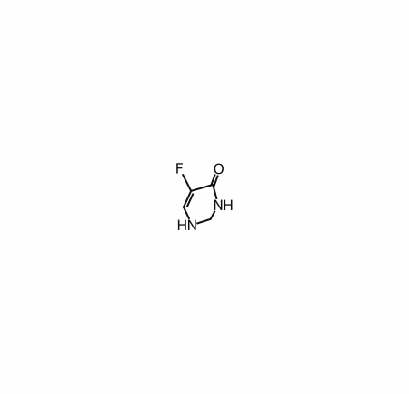 O=C1NCNC=C1F